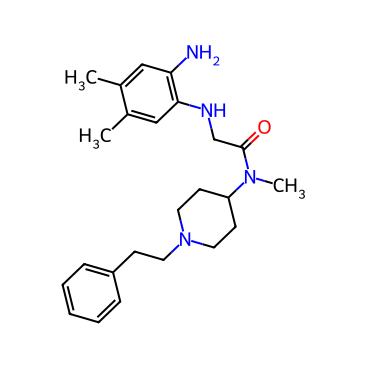 Cc1cc(N)c(NCC(=O)N(C)C2CCN(CCc3ccccc3)CC2)cc1C